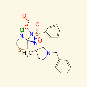 CC1(N[C@@]2(N(OC=O)S(=O)(=O)c3ccccc3)CSCN2Cl)CCN(Cc2ccccc2)C1